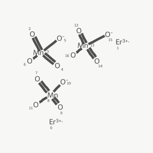 [Er+3].[Er+3].[O]=[Mn](=[O])([O-])[O-].[O]=[Mn](=[O])([O-])[O-].[O]=[Mn](=[O])([O-])[O-]